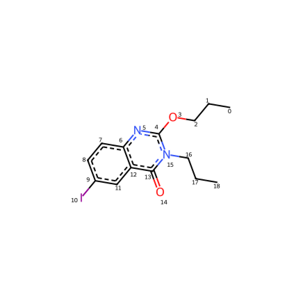 CCCOc1nc2ccc(I)cc2c(=O)n1CCC